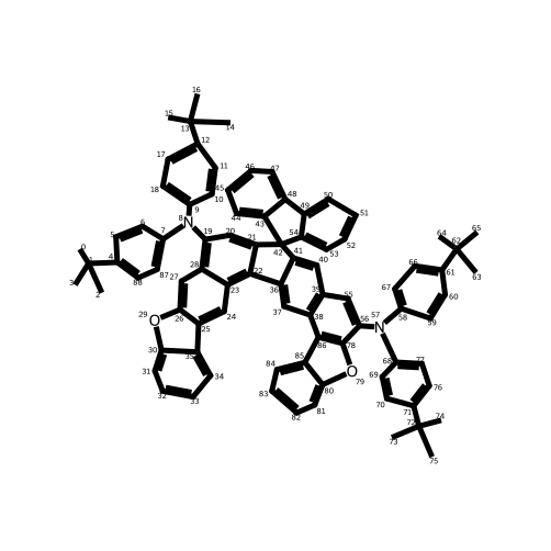 CC(C)(C)c1ccc(N(c2ccc(C(C)(C)C)cc2)c2cc3c(c4cc5c(cc24)oc2ccccc25)-c2cc4c(cc2C32c3ccccc3-c3ccccc32)cc(N(c2ccc(C(C)(C)C)cc2)c2ccc(C(C)(C)C)cc2)c2oc3ccccc3c24)cc1